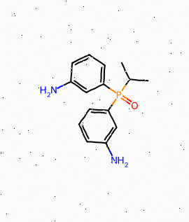 CC(C)P(=O)(c1cccc(N)c1)c1cccc(N)c1